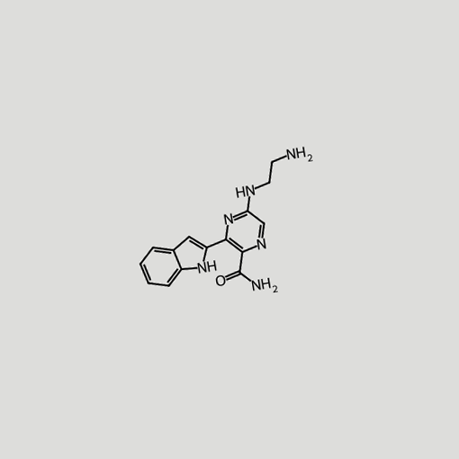 NCCNc1cnc(C(N)=O)c(-c2cc3ccccc3[nH]2)n1